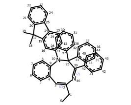 CCC1=C/c2ccccc2N(c2ccc3c(c2)C(C)(C)c2ccccc2-3)C(c2ccccc2)(c2ccccc2)/C(c2ccccc2)=N\1